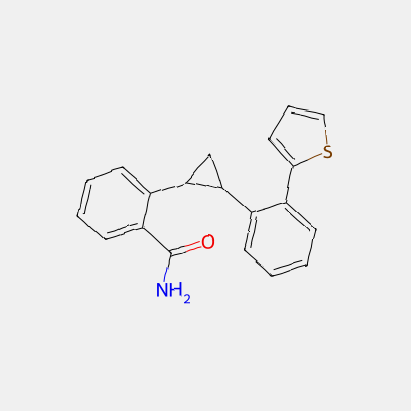 NC(=O)c1ccccc1C1CC1c1ccccc1-c1cccs1